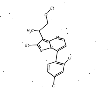 CCOCC(C)c1c(CC)nn2c(-c3ccc(Cl)cc3Cl)ccnc12